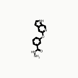 NNC(=O)c1cccc(Oc2cc3cc[nH]c3cn2)c1